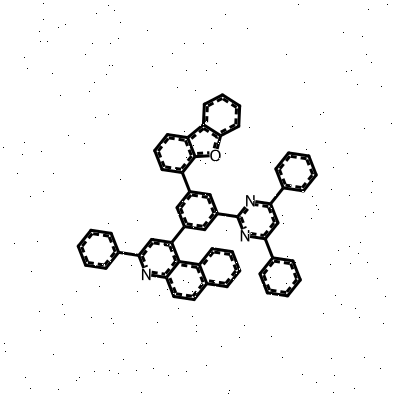 c1ccc(-c2cc(-c3ccccc3)nc(-c3cc(-c4cccc5c4oc4ccccc45)cc(-c4cc(-c5ccccc5)nc5ccc6ccccc6c45)c3)n2)cc1